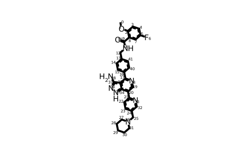 COc1ccc(F)cc1C(=O)NCc1ccc(-c2ncc(-c3ccc(CN4CCCCC4)cn3)c3[nH]nc(N)c23)cc1